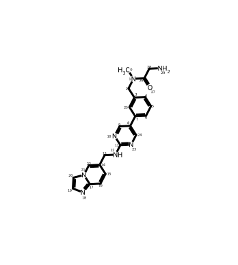 CN(Cc1cccc(-c2cnc(NCc3ccc4nccn4c3)nc2)c1)C(=O)CN